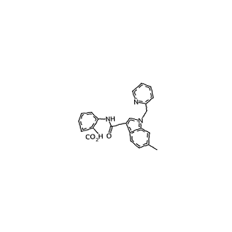 Cc1ccc2c(C(=O)Nc3ccccc3C(=O)O)cn(Cc3ccccn3)c2c1